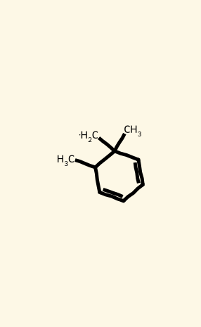 [CH2]C1(C)C=CC=CC1C